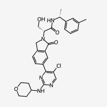 Cc1cccc([C@@H](C)NC(=O)[C@@H](CO)N2Cc3ccc(-c4nc(NC5CCOCC5)ncc4Cl)cc3C2=O)c1